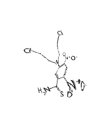 NC(=S)c1cc(N(CCCl)CCCl)c([N+](=O)[O-])cc1[N+](=O)[O-]